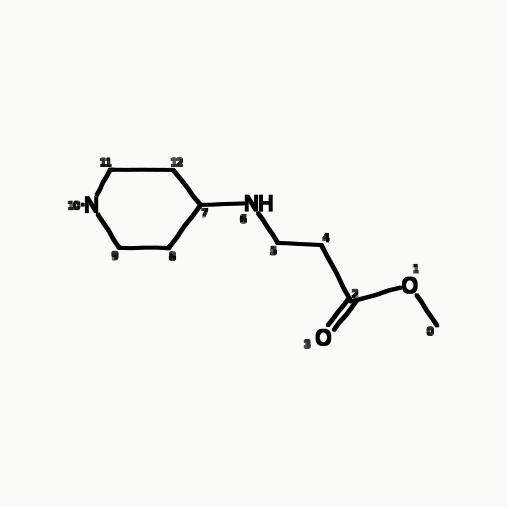 COC(=O)CCNC1CC[N]CC1